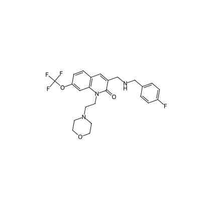 O=c1c(CNCc2ccc(F)cc2)cc2ccc(OC(F)(F)F)cc2n1CCN1CCOCC1